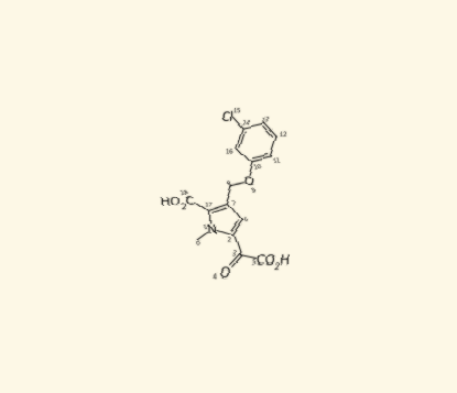 Cn1c(C(=O)C(=O)O)cc(COc2cccc(Cl)c2)c1C(=O)O